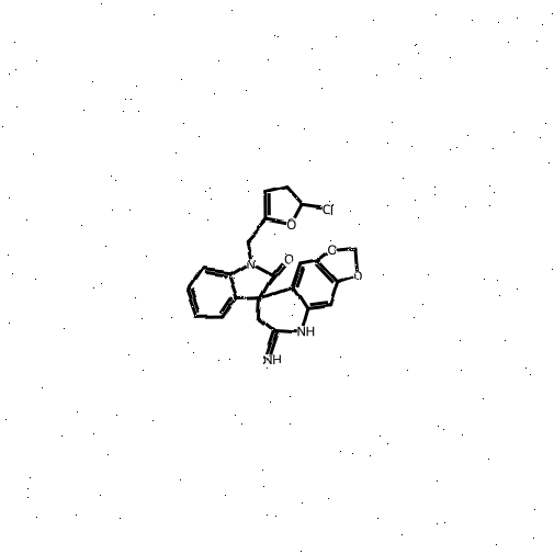 N=C1CC2(C(=O)N(CC3=CCC(Cl)O3)c3ccccc32)c2cc3c(cc2N1)OCO3